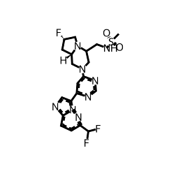 CS(=O)(=O)NCC1CN(c2cc(-c3cnc4ccc(C(F)F)nn34)ncn2)C[C@@H]2C[C@H](F)CN12